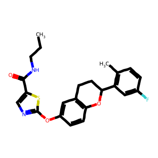 CCCNC(=O)c1cnc(Oc2ccc3c(c2)CCC(c2cc(F)ccc2C)O3)s1